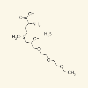 CCOCCOCCOCC(O)C[S+](C)CC[C@H](N)C(=O)O.S